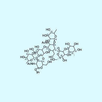 CC(=O)NC1[C@H](OC(C)C)OC(CO)[C@@H](O[C@@H]2O[C@@H](CO)[C@H](O)C(O[C@@H]3OC(CO)[C@@H](O[C@@H]4O[C@@H](CO)[C@H](O)C(O)C4O[C@@H]4O[C@@H](C)[C@@H](O)C(O)C4O)[C@H](O[C@@H]4OC(C)[C@@H](O)[C@H](O)C4O)C3NC(C)=O)C2O)[C@@H]1O[C@@H]1OC(C)[C@@H](O)[C@H](O)C1O